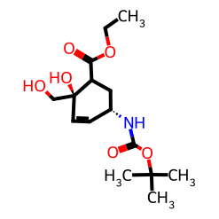 CCOC(=O)C1C[C@H](NC(=O)OC(C)(C)C)C=C[C@]1(O)CO